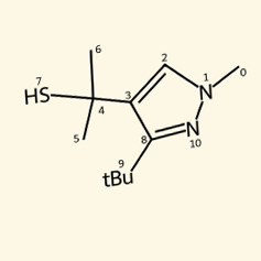 Cn1cc(C(C)(C)S)c(C(C)(C)C)n1